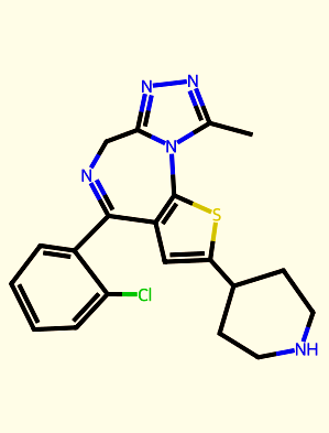 Cc1nnc2n1-c1sc(C3CCNCC3)cc1C(c1ccccc1Cl)=NC2